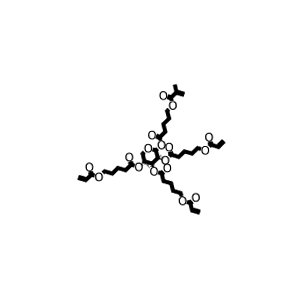 C=CC(=O)OCCCCC(=O)O[C@H]1[C@H](OC(=O)CCCCOC(=O)C=C)COC(OC(=O)CCCCOC(=O)C(=C)C)[C@@H]1OC(=O)CCCCOC(=O)C=C